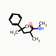 CNC(=O)C(C)CC(C)(C)c1ccccc1